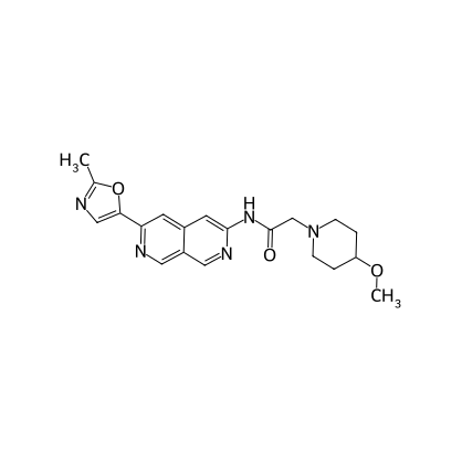 COC1CCN(CC(=O)Nc2cc3cc(-c4cnc(C)o4)ncc3cn2)CC1